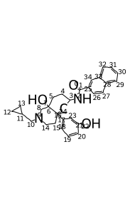 O=C(NC1CCC2(O)CN(CC3CC3)CCC2(c2cccc(O)c2)C1)c1ccc2ccccc2c1